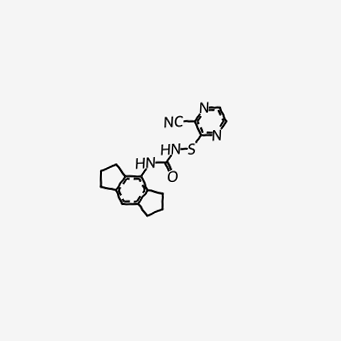 N#Cc1nccnc1SNC(=O)Nc1c2c(cc3c1CCC3)CCC2